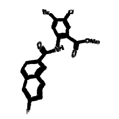 COC(=O)c1cc(Cl)c(Br)cc1NC(=O)c1ccc2cc(F)ccc2c1